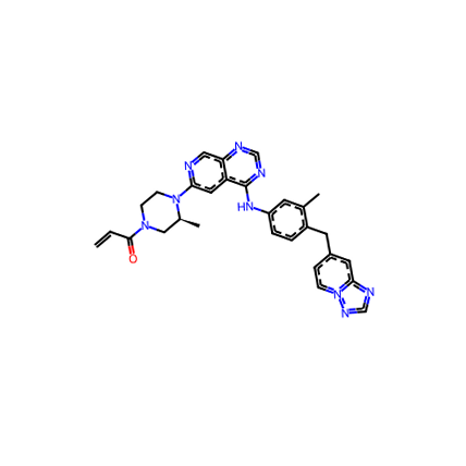 C=CC(=O)N1CCN(c2cc3c(Nc4ccc(Cc5ccn6ncnc6c5)c(C)c4)ncnc3cn2)[C@@H](C)C1